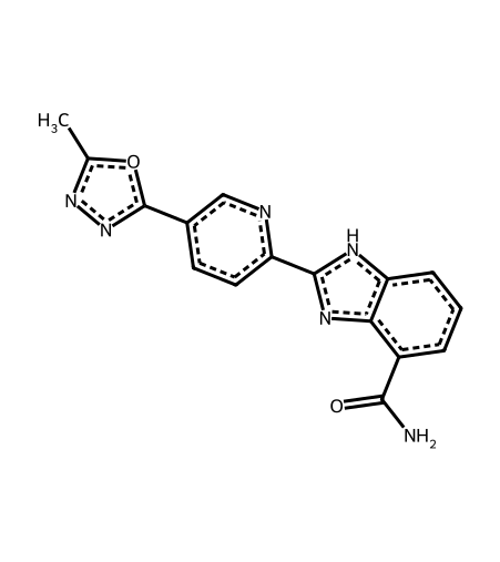 Cc1nnc(-c2ccc(-c3nc4c(C(N)=O)cccc4[nH]3)nc2)o1